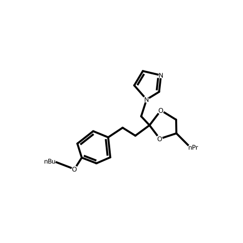 CCCCOc1ccc(CCC2(Cn3ccnc3)OCC(CCC)O2)cc1